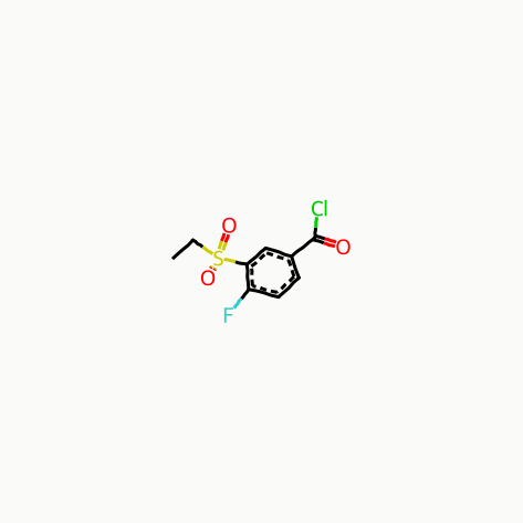 CCS(=O)(=O)c1cc(C(=O)Cl)ccc1F